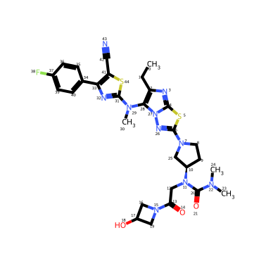 CCc1nc2sc(N3CC[C@@H](N(CC(=O)N4CC(O)C4)C(=O)N(C)C)C3)nn2c1N(C)c1nc(-c2ccc(F)cc2)c(C#N)s1